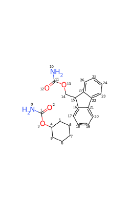 NC(=O)OC1CCCCC1.NC(=O)OCC1c2ccccc2-c2ccccc21